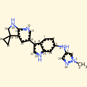 Cn1cc(Nc2ccc3c(-c4cnc5c(c4)C4(CC4)CN5)c[nH]c3c2)cn1